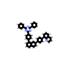 c1ccc(-c2nc(-c3ccccc3)nc(-c3ccc(-c4cccc5ccc(-c6ccc(-c7cccc8cccnc78)cc6)cc45)cc3)n2)cc1